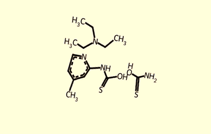 CCN(CC)CC.Cc1ccnc(NC(O)=S)c1.NC(O)=S